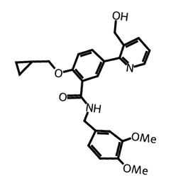 COc1ccc(CNC(=O)c2cc(-c3ncccc3CO)ccc2OCC2CC2)cc1OC